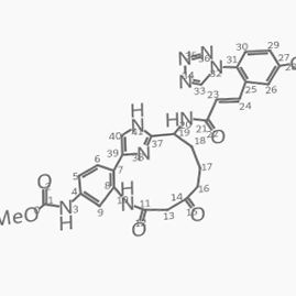 COC(=O)Nc1ccc2c(c1)NC(=O)CC(=O)CCCC(NC(=O)/C=C/c1cc(Cl)ccc1-n1cnnn1)c1nc-2c[nH]1